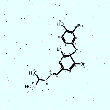 CCC(C)c1cc(Oc2c(Br)cc(C=NOC(C)C(=O)O)cc2Br)ccc1O